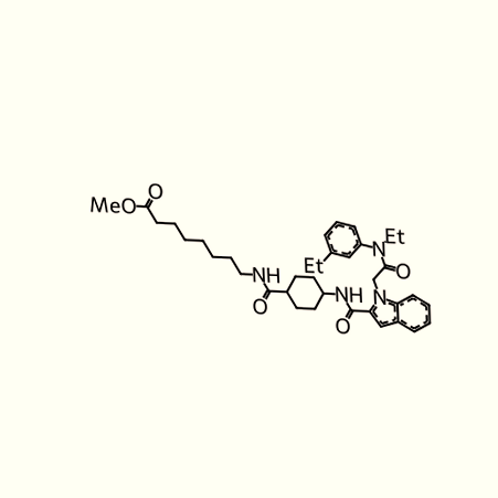 CCc1cccc(N(CC)C(=O)Cn2c(C(=O)NC3CCC(C(=O)NCCCCCCCC(=O)OC)CC3)cc3ccccc32)c1